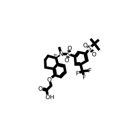 CN([C@@H]1CCCc2c(OCC(=O)O)cccc21)S(=O)(=O)c1cc(C(F)(F)F)cc(S(=O)(=O)C(C)(C)C)c1